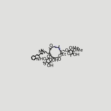 CC[C@H]1OC(=O)C[C@@H](O)[C@H](C)[C@@H](O[C@@H]2O[C@H](C)[C@@H](O)C(N(C)C)C2O)[C@@H](CCn2cc(-c3cnc4ccccc4c3)nn2)C[C@@H](C)C(=O)/C=C/C(C)=C/[C@@H]1CCO[C@@H]1OC(C)[C@@H](O)[C@H](OC)C1OC